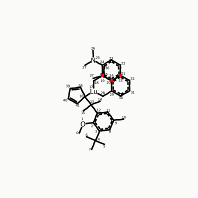 COc1c(C(C)(C)C)cc(C)cc1C(C)(C)[C]1([Lu]([CH2]c2ccccc2N(C)C)[CH2]c2ccccc2N(C)C)C=CC=C1